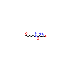 CC(=O)CCCCCNC(=O)C(N)CCC=O